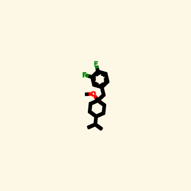 COC1(Cc2ccc(F)c(F)c2)CCC(C(C)C)CC1